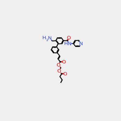 CCCC(=O)OCOC(=O)C=Cc1cccc(-c2cc(C(=O)Nc3ccncc3)ccc2CN)c1